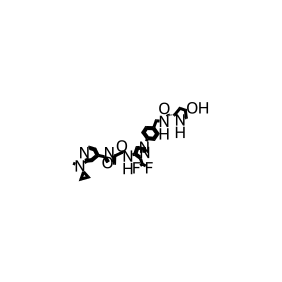 CN(c1cc(-c2nc(C(=O)Nc3cn(-c4ccc(CNC(=O)[C@@H]5C[C@@H](O)CN5)cc4)nc3C(F)F)co2)ccn1)C1CC1